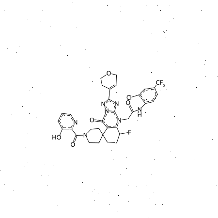 O=C(Cn1c2c(c(=O)n3nc(C4=CCOCC4)nc13)C1(CCC2F)CCN(C(=O)c2ncccc2O)CC1)Nc1ccc(C(F)(F)F)cc1Cl